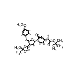 COc1ccc(CN2OC(n3ccc(NC(=O)OC(C)(C)C)nc3=O)CC2C2COC(C)(C)O2)cc1